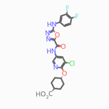 O=C(Nc1cnc(O[C@H]2CC[C@H](C(=O)O)CC2)c(Cl)c1)c1nnc(Nc2ccc(F)c(F)c2)o1